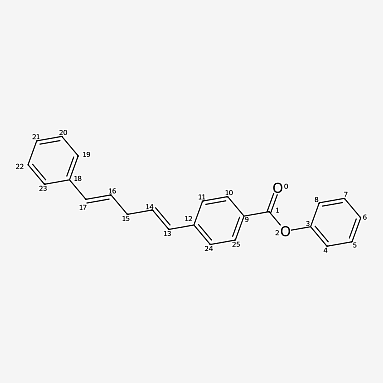 O=C(Oc1ccccc1)c1ccc(C=CCC=Cc2ccccc2)cc1